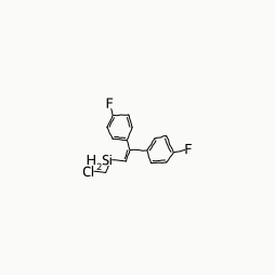 Fc1ccc(C(=C[SiH2]CCl)c2ccc(F)cc2)cc1